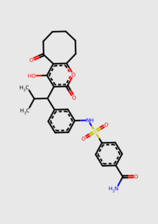 CC(C)C(c1cccc(NS(=O)(=O)c2ccc(C(N)=O)cc2)c1)c1c(O)c2c(oc1=O)CCCCCC2=O